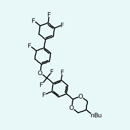 CCCCC1COC(c2cc(F)c(C(F)(F)OC3=CC=C(C4=CC(F)=C(F)C(F)C4)C(F)C3)c(F)c2)OC1